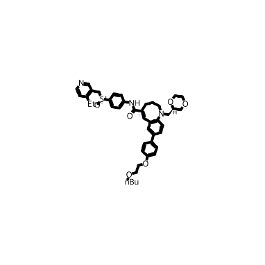 CCCCOCCOc1ccc(-c2ccc3c(c2)/C=C(/C(=O)Nc2ccc([S+]([O-])Cc4cnccc4CC)cc2)CCCN3C[C@@H]2COCCO2)cc1